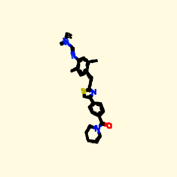 CCN(C)/C=N/c1cc(C)c(Cc2nc(-c3ccc(C(=O)N4CCCCC4)cc3)cs2)cc1C